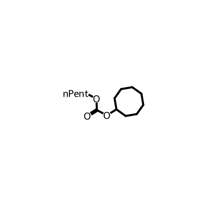 CCCCCOC(=O)OC1CCCCCCC1